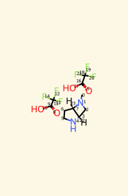 CN1C[C@@H]2NCC[C@@H]21.O=C(O)C(F)(F)F.O=C(O)C(F)(F)F